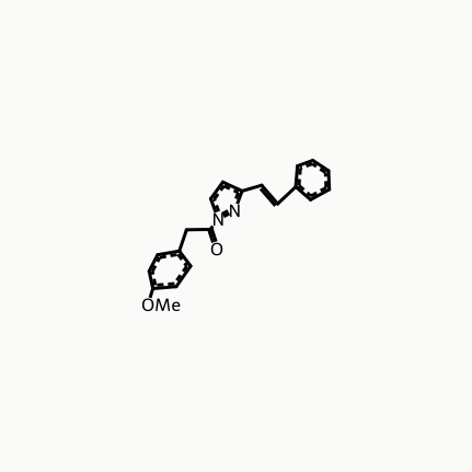 COc1ccc(CC(=O)n2ccc(C=Cc3ccccc3)n2)cc1